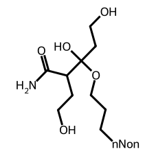 CCCCCCCCCCCCOC(O)(CCO)C(CCO)C(N)=O